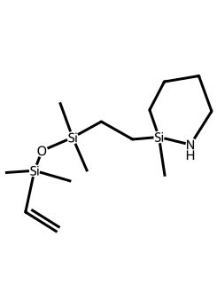 C=C[Si](C)(C)O[Si](C)(C)CC[Si]1(C)CCCCN1